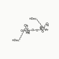 CCCCCCCCCCCCCCCCCC(=O)N(CCC1CCCN1C)C(C(=O)NCCOCCOCCNC(=O)C(C(C)C)N(CCC1CCCN1C)C(=O)CCCCCCCCCCCCCCCCC)C(C)C